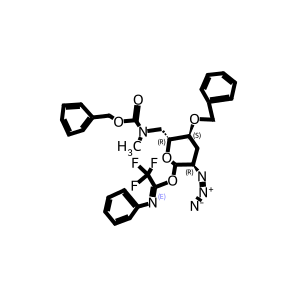 CN(C[C@H]1OC(O/C(=N/c2ccccc2)C(F)(F)F)[C@H](N=[N+]=[N-])C[C@@H]1OCc1ccccc1)C(=O)OCc1ccccc1